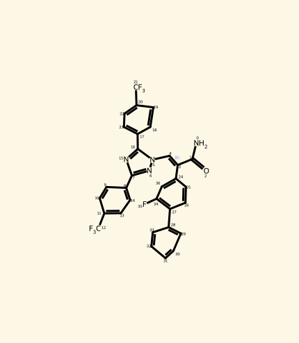 NC(=O)/C(=C/n1nc(-c2ccc(C(F)(F)F)cc2)nc1-c1ccc(C(F)(F)F)cc1)c1ccc(-c2ccccc2)c(F)c1